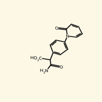 NC(=O)C(C(=O)O)c1ccc(-n2ccccc2=O)cc1